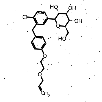 C=CCOCCOc1ccc(Cc2cc(C3O[C@H](CO)[C@@H](O)[C@H](O)[C@H]3O)ccc2Cl)cc1